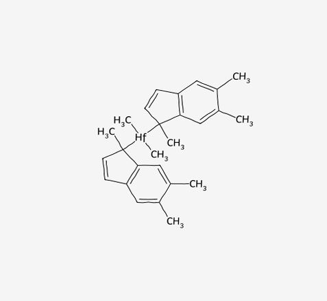 Cc1cc2c(cc1C)[C](C)([Hf]([CH3])([CH3])[C]1(C)C=Cc3cc(C)c(C)cc31)C=C2